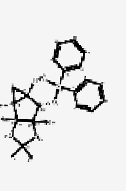 CC(=O)[C@]12C[C@@H]1[C@H](O[Si](c1ccccc1)(c1ccccc1)C(C)(C)C)[C@@H]1OC(C)(C)O[C@@H]12